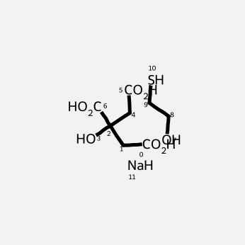 O=C(O)CC(O)(CC(=O)O)C(=O)O.OCCS.[NaH]